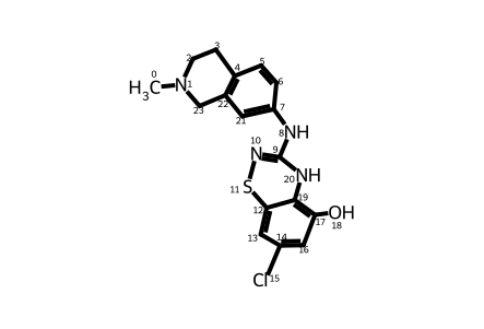 CN1CCc2ccc(NC3=NSc4cc(Cl)cc(O)c4N3)cc2C1